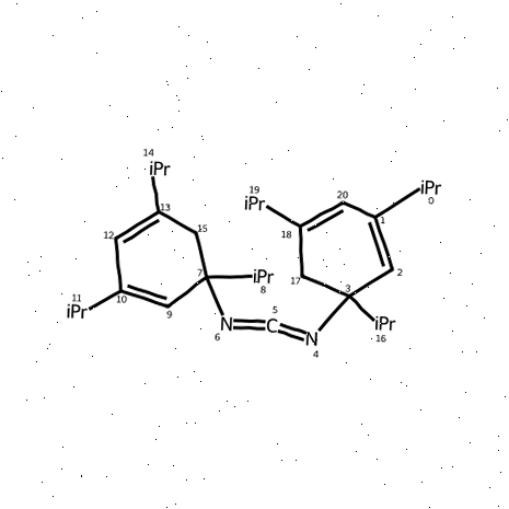 CC(C)C1=CC(N=C=NC2(C(C)C)C=C(C(C)C)C=C(C(C)C)C2)(C(C)C)CC(C(C)C)=C1